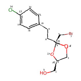 OC[C@@H]1CO[C@@](CBr)(CCc2ccc(Cl)cc2)O1